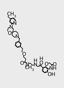 CCc1ccnc(N2CCOC3(CCN(Cc4cccc(CCOCCC(=O)N(C)CCNC[C@H](O)c5ccc(O)c6c5OCC(=O)N6)c4)CC3)C2)c1